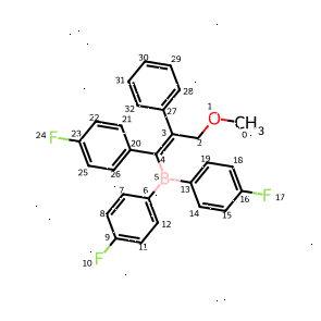 COC/C(=C(\B(c1ccc(F)cc1)c1ccc(F)cc1)c1ccc(F)cc1)c1ccccc1